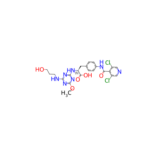 COc1nc(NCCCO)nc(N[C@@H](Cc2ccc(NC(=O)c3c(Cl)cncc3Cl)cc2)C(=O)O)n1